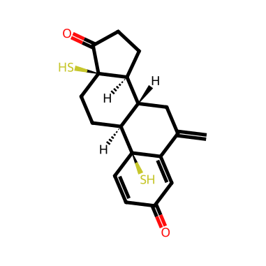 C=C1C[C@@H]2[C@H](CC[C@]3(S)C(=O)CC[C@@H]23)[C@@]2(S)C=CC(=O)C=C12